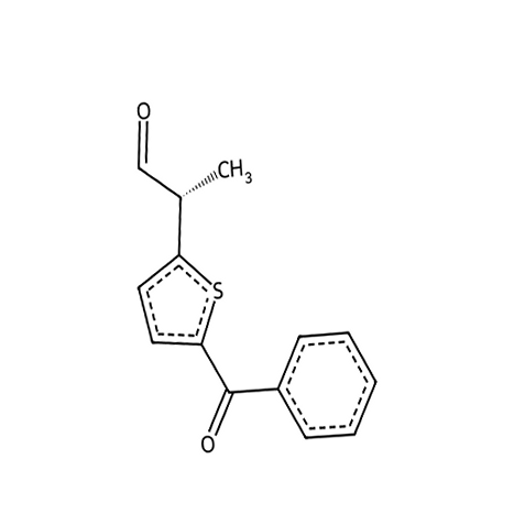 C[C@@H](C=O)c1ccc(C(=O)c2ccccc2)s1